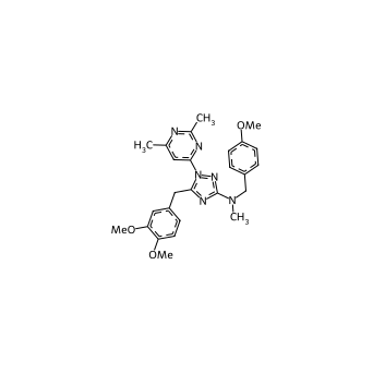 COc1ccc(CN(C)c2nc(Cc3ccc(OC)c(OC)c3)n(-c3cc(C)nc(C)n3)n2)cc1